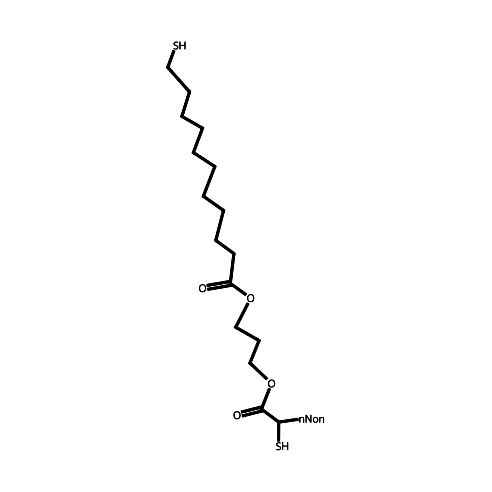 CCCCCCCCCC(S)C(=O)OCCCOC(=O)CCCCCCCCCCS